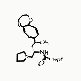 CCCCCCCC(=O)N[C@@H](C[C@H](O)C1=CC=C2OCCCOC2C=C1)CN1CCCC1